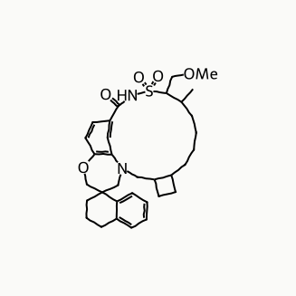 COCC1C(C)CCCCC2CCC2CN2CC3(CCCc4ccccc43)COc3ccc(cc32)C(=O)NS1(=O)=O